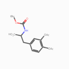 CC(=O)Oc1ccc(CC(NC(=O)OC(C)(C)C)C(=O)O)cc1OC(C)=O